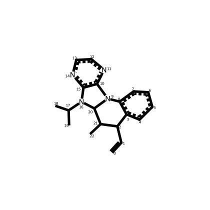 C=CC1c2ccccc2N2c3nccnc3N(C(C)C)C2C1C